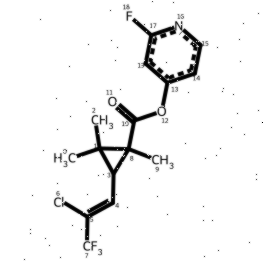 CC1(C)C(C=C(Cl)C(F)(F)F)C1(C)C(=O)Oc1ccnc(F)c1